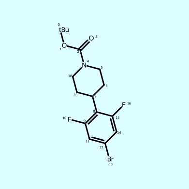 CC(C)(C)OC(=O)N1CCC(c2c(F)cc(Br)cc2F)CC1